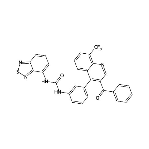 O=C(Nc1cccc(-c2c(C(=O)c3ccccc3)cnc3c(C(F)(F)F)cccc23)c1)Nc1cccc2nsnc12